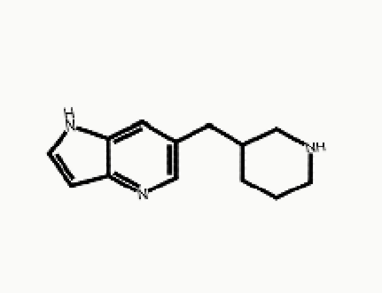 c1cc2ncc(CC3CCCNC3)cc2[nH]1